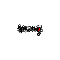 CCCCCCc1cc2c(cc1OC(=O)OCc1ccc(OCC3=C(C(=O)O)N4C(=O)[C@@H](NC(=O)[C@@H]5N6C(=O)C[C@H]6S(=O)(=O)C5(C)Cn5ccnn5)C4SC3)cc1)Oc1cc(N3CCc4ccccc43)ccc1C21OC(=O)c2c(Cl)c(Cl)c(Cl)c(Cl)c21